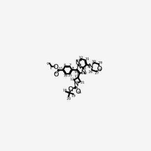 CCOC(=O)c1ccc(-c2c(C3CN(C(=O)OC(C)(C)C)C3)nc3c(N4CCOCC4)ccnn23)cc1